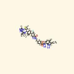 Cc1sc2c(c1C)C(c1ccc(-c3ccc(C(=O)NCCc4ccc(S(=O)(=O)Nc5ccc(C)c6c(C#N)c[nH]c56)cc4)cc3F)cc1)=N[C@@H](CC(=O)O)c1nnc(C)n1-2